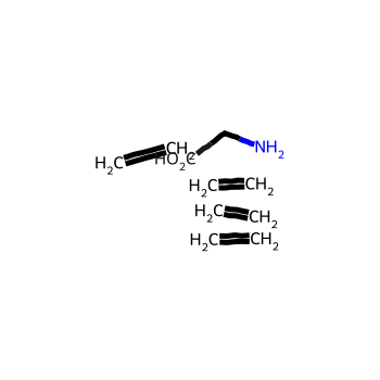 C=C.C=C.C=C.C=C.NCC(=O)O